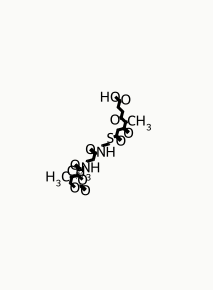 CC(C(=O)CCC(=O)O)C(=O)CC(=O)SCCNC(=O)CCNC(=O)[C@@H]1OC(=O)OCC1(C)C